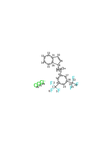 FC(F)(F)c1c[c]([Hf+3][CH]2C=Cc3ccccc32)cc(C(F)(F)F)c1.[Cl-].[Cl-].[Cl-]